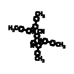 Cc1ccc(-c2ccc3c(c2)c2cc(-c4ccc(C)cc4)ccc2n3-c2cc(-c3ccncc3)c(-n3c4ccc(-c5ccc(C)cc5)cc4c4cc(-c5ccc(C)cc5)ccc43)cc2C#N)cc1